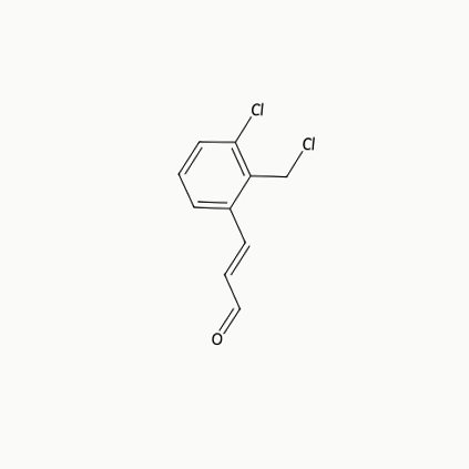 O=CC=Cc1cccc(Cl)c1CCl